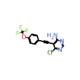 Nc1ncnc(Cl)c1C#Cc1ccc(OC(F)(F)F)cc1